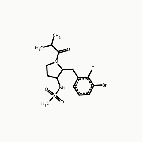 CC(C)C(=O)N1CCC(NS(C)(=O)=O)C1Cc1cccc(Br)c1F